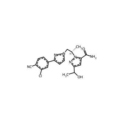 CC(O)c1cc(C(N)=O)n([C@@H](C)Cn2ccc(-c3ccc(C#N)c(Cl)c3)n2)n1